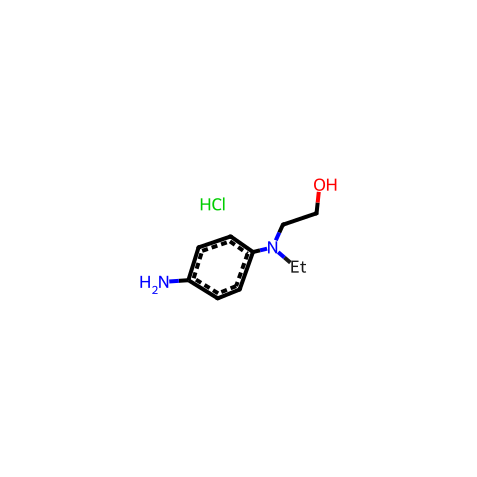 CCN(CCO)c1ccc(N)cc1.Cl